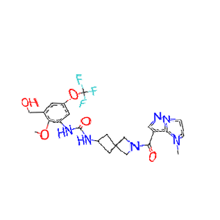 COc1c(CO)cc(OC(F)(F)F)cc1NC(=O)NC1CC2(C1)CN(C(=O)c1cnn3ccn(C)c13)C2